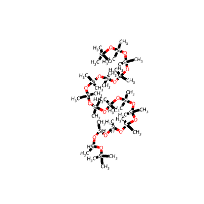 C[SiH](O[SiH](C)O[Si](C)(C)C)O[SiH](C)O[Si](C)(C)O[Si](C)(C)O[Si](C)(C)O[Si](C)(C)O[Si](C)(C)O[Si](C)(C)O[Si](C)(C)O[Si](C)(C)O[Si](C)(C)O[Si](C)(C)O[Si](C)(C)O[Si](C)(C)C